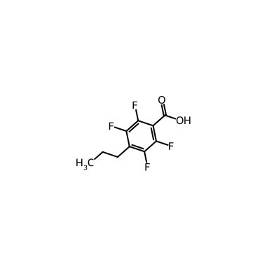 CCCc1c(F)c(F)c(C(=O)O)c(F)c1F